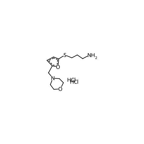 Cl.Cl.NCCCSc1ccc(CN2CCOCC2)o1